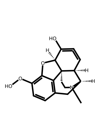 CN1CC[C@]23c4c5ccc(OO)c4O[C@H]2C(O)=C=C[C@H]3[C@H]1C5